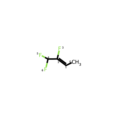 C/C=C(\F)C(F)F